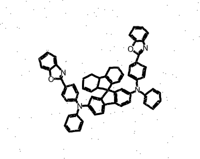 C1=CC2=C(CC1)C1CCC=CC1C21c2cc(N(c3ccccc3)c3ccc(-c4nc5ccccc5o4)cc3)ccc2-c2ccc(N(c3ccccc3)c3ccc(-c4nc5ccccc5o4)cc3)cc21